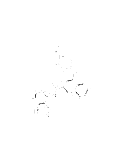 CCN1CCC(Oc2nc(C(C)Nc3ncnc(N)c3NN)cc3ccccc23)CC1